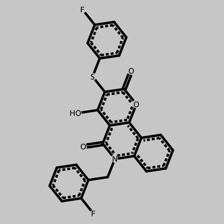 O=c1oc2c(c(O)c1Sc1cccc(F)c1)c(=O)n(Cc1ccccc1F)c1ccccc21